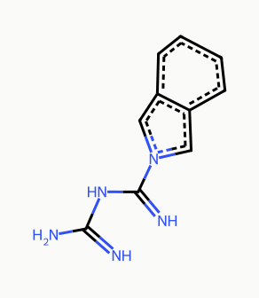 N=C(N)NC(=N)n1cc2ccccc2c1